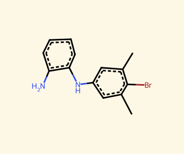 Cc1cc(Nc2ccccc2N)cc(C)c1Br